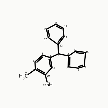 Cc1ccc(C(c2ccccc2)c2ccccc2)[c]c1S